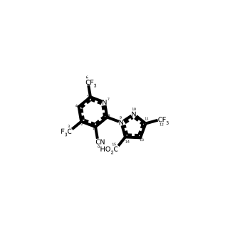 N#Cc1c(C(F)(F)F)cc(C(F)(F)F)nc1-n1nc(C(F)(F)F)cc1C(=O)O